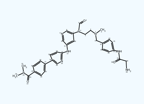 CN(CCN(C=O)c1cncc(Nc2ccc(-c3ccc(C(=O)N(C)C)cc3)cn2)c1)Cc1ccc(NC(=O)CN)cc1